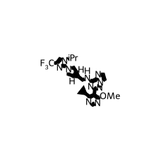 COc1ncnc(C2CC2)c1-c1nc(NCC2[C@H]3CN(c4nc(C(F)(F)F)cn4C(C)C)C[C@@H]23)c2nccn2n1